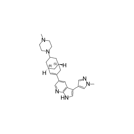 CN1CCN(C2C[C@@H]3C=C(c4cnc5[nH]cc(-c6cnn(C)c6)c5c4)C[C@@H](C2)C3)CC1